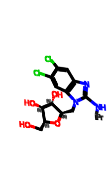 CC(C)Nc1nc2cc(Cl)c(Cl)cc2n1C[C@H]1O[C@@H](CO)[C@@H](O)[C@@H]1O